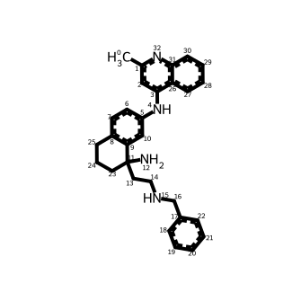 Cc1cc(Nc2ccc3c(c2)C(N)(CCNCc2ccccc2)CCC3)c2ccccc2n1